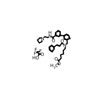 COC(=O)CCCCCN(Cc1cccc(-c2cccc(C(=O)NCCN3CCCC3)c2)c1)C(=O)C=Cc1ccccc1.O=C(O)C(F)(F)F